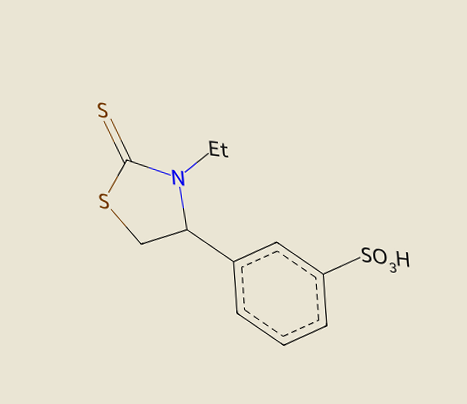 CCN1C(=S)SCC1c1cccc(S(=O)(=O)O)c1